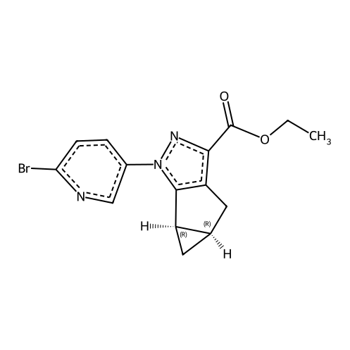 CCOC(=O)c1nn(-c2ccc(Br)nc2)c2c1C[C@H]1C[C@@H]21